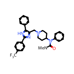 CNC(=O)N(c1ccccc1)C1CCN(Cc2nc(-c3ccc(C(F)(F)F)cc3)[nH]c2-c2ccccc2)CC1